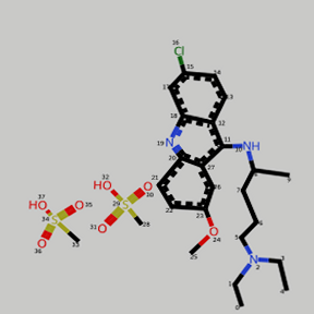 CCN(CC)CCCC(C)Nc1c2ccc(Cl)cc2nc2ccc(OC)cc12.CS(=O)(=O)O.CS(=O)(=O)O